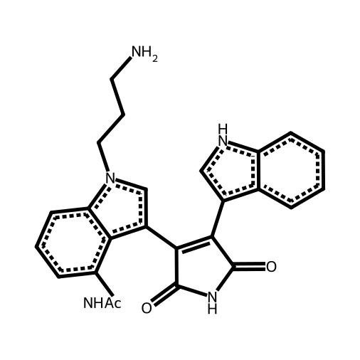 CC(=O)Nc1cccc2c1c(C1=C(c3c[nH]c4ccccc34)C(=O)NC1=O)cn2CCCN